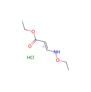 CCON/C=C/C(=O)OCC.Cl